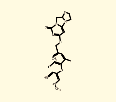 C\C=C(/C=C(F)\C(=C\F)O/C(C=N)=C/NC)COc1cc2n(c(=O)n1)CC1OCCN21